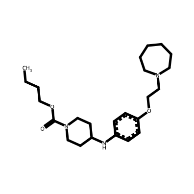 CCCCOC(=O)N1CCC(Nc2ccc(OCCN3CCCCCC3)cc2)CC1